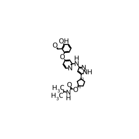 CC(C)NC(=O)O[C@@H]1CC[C@H](c2cc(Nc3cc(Oc4cccc(O)c4C=O)ccn3)n[nH]2)C1